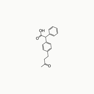 CC(=O)CCc1ccc(C(C(=O)O)c2ccccc2)cc1